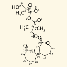 CC(C)(CO)C(=O)OC(=O)C(C)(C)CO.O=C1CCCCCO1.O=C1CCCCCO1